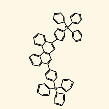 c1ccc([Si](c2ccccc2)(c2ccccc2)c2ccc(-c3cc4cc(-c5ccc([Si](c6ccccc6)(c6ccccc6)c6ccccc6)cc5)c5ccccc5c4c4ccccc34)cc2)cc1